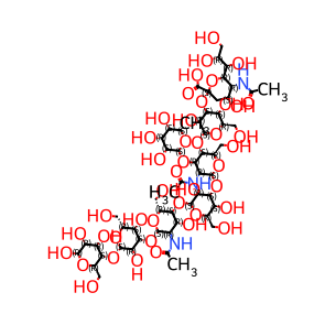 CC(=O)N[C@H]1[C@H](O[C@H]2[C@@H](O)[C@@H](CO)O[C@@H](O[C@H]3[C@H](O)[C@@H](O)[C@H](O)O[C@@H]3CO)[C@@H]2O)O[C@H](CO)[C@@H](O[C@@H]2O[C@H](CO)[C@H](O)[C@H](O[C@@H]3O[C@H](CO)[C@@H](O[C@@H]4O[C@H](CO)[C@H](O)[C@H](O[C@]5(C(=O)O)C[C@H](O)[C@@H](NC(C)=O)[C@H]([C@H](O)[C@H](O)CO)O5)[C@H]4O)[C@H](O[C@@H]4O[C@@H](C)[C@@H](O)[C@@H](O)[C@@H]4O)[C@H]3NC(C)=O)[C@H]2O)[C@@H]1O